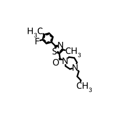 CCCCN1CCCN(C(=O)c2sc(-c3ccc(C)c(F)c3)nc2C)CC1